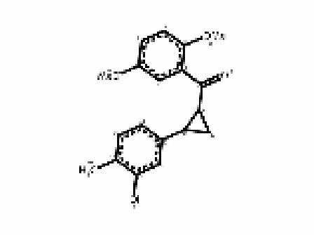 COc1ccc(OC)c(C(=O)C2CC2c2ccc(C)c(O)c2)c1